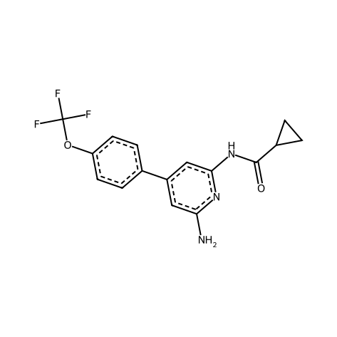 Nc1cc(-c2ccc(OC(F)(F)F)cc2)cc(NC(=O)C2CC2)n1